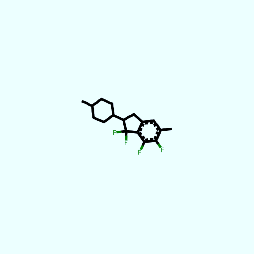 Cc1cc2c(c(F)c1F)C(F)(F)C(C1CCC(C)CC1)C2